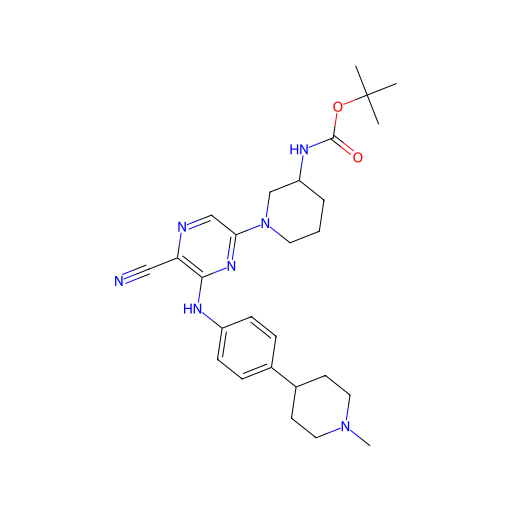 CN1CCC(c2ccc(Nc3nc(N4CCCC(NC(=O)OC(C)(C)C)C4)cnc3C#N)cc2)CC1